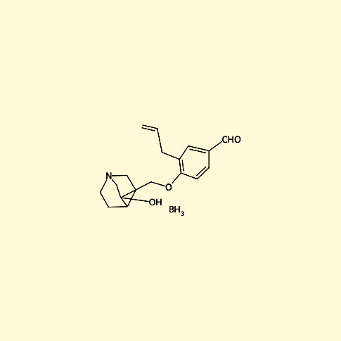 B.C=CCc1cc(C=O)ccc1OCC1(O)CN2CCC1CC2